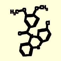 COc1ccc(C(=O)N2c3ccccc3Sc3ccc(Cl)cc32)cc1OC